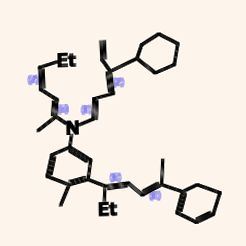 C=C/C(=C\C=C\N(/C(C)=C/C=C\CC)c1ccc(C)c(/C(=C/C=C(\C)C2=CC=CCC2)CC)c1)C1CCCCC1